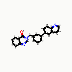 O=c1c2ccccc2ncn1Cc1cccc(-c2ccc3ncccc3c2)c1